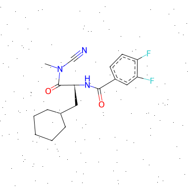 CN(C#N)C(=O)[C@H](CC1CCCCC1)NC(=O)c1ccc(F)c(F)c1